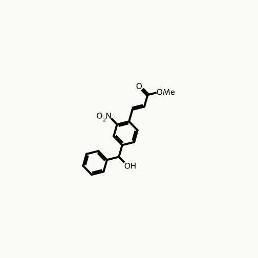 COC(=O)C=Cc1ccc(C(O)c2ccccc2)cc1[N+](=O)[O-]